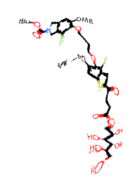 COc1cc2c(c(F)c1OCCCOc1c(OC)cc3sc(C(=O)CCC(=O)OC[C@@H](O)[C@@H](O)[C@H](O)[C@H](O)CO)cc3c1F)CN(C(=O)OC(C)(C)C)C2